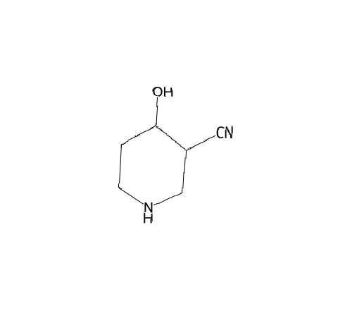 N#CC1CNCCC1O